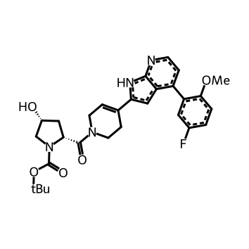 COc1ccc(F)cc1-c1ccnc2[nH]c(C3=CCN(C(=O)[C@H]4C[C@@H](O)CN4C(=O)OC(C)(C)C)CC3)cc12